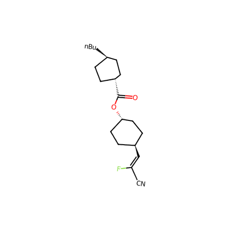 CCCC[C@H]1CC[C@H](C(=O)O[C@H]2CC[C@H](C=C(F)C#N)CC2)CC1